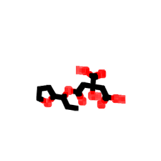 CCC(OC(=O)CC(O)(CC(=O)O)C(=O)O)C1CCCO1